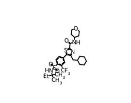 CCC(C)(C)NS(=O)(=O)c1ccc(-c2sc(C(=O)NC3CCOCC3)nc2CC2CCCCC2)cc1C(F)(F)F